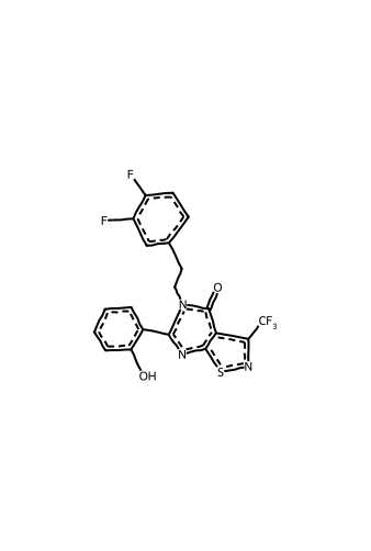 O=c1c2c(C(F)(F)F)nsc2nc(-c2ccccc2O)n1CCc1ccc(F)c(F)c1